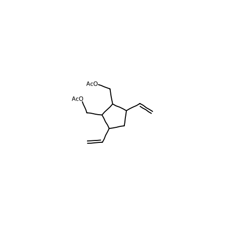 C=CC1CC(C=C)C(COC(C)=O)C1COC(C)=O